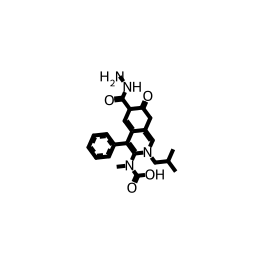 CC(C)CN1C=C2CC(=O)C(C(=O)NN)C=C2C(c2ccccc2)=C1N(C)C(=O)O